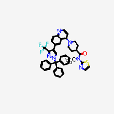 CN(C(=O)C1CCN(c2ccnc3ccc(-c4cn(C(c5ccccc5)(c5ccccc5)c5ccccc5)nc4C(F)(F)F)cc23)CC1)c1nccs1